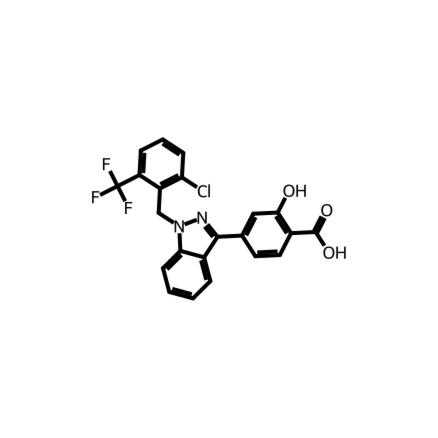 O=C(O)c1ccc(-c2nn(Cc3c(Cl)cccc3C(F)(F)F)c3ccccc23)cc1O